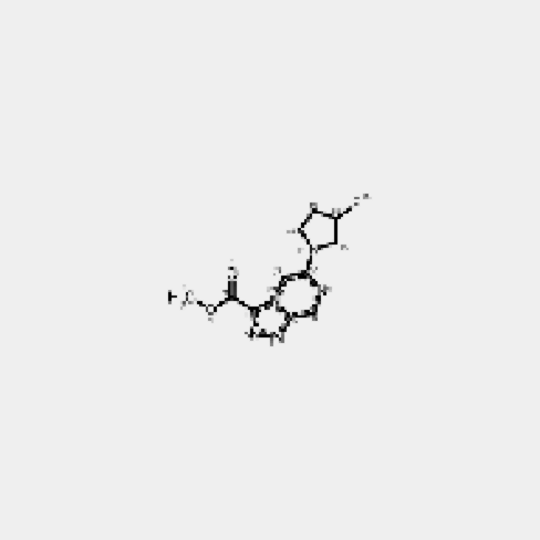 COC(=O)c1nnc2cnc(N3CCC(F)C3)cn12